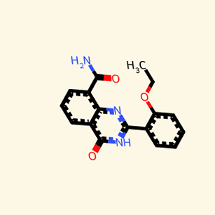 CCOc1ccccc1-c1nc2c(C(N)=O)cccc2c(=O)[nH]1